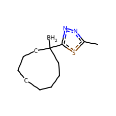 BC1(c2nnc(C)s2)CCCCCCCC1